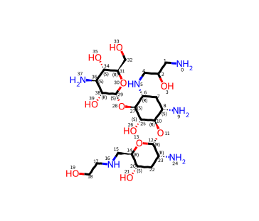 NCC(O)CN[C@@H]1C[C@H](N)[C@@H](O[C@H]2O[C@H](CNCCO)[C@@H](O)C[C@H]2N)[C@H](O)[C@H]1O[C@H]1O[C@H](CO)[C@@H](O)[C@H](N)[C@H]1O